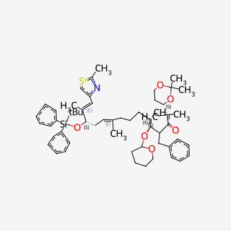 C/C(=C\C[C@H](O[Si](c1ccccc1)(c1ccccc1)C(C)(C)C)/C(C)=C/c1csc(C)n1)CCC[C@H](C)[C@H](OC1CCCCO1)C(Cc1ccccc1)C(=O)C(C)(C)[C@@H]1CCOC(C)(C)O1